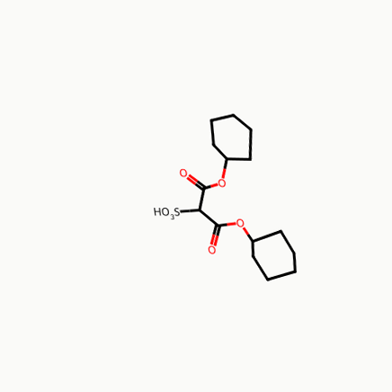 O=C(OC1CCCCC1)C(C(=O)OC1CCCCC1)S(=O)(=O)O